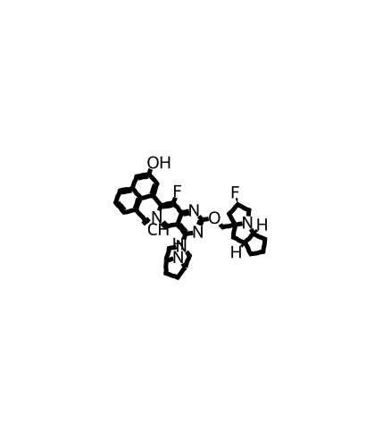 C#Cc1cccc2cc(O)cc(-c3ncc4c(N5CC6CCC(C5)N6)nc(OCC56C[C@H](F)CN5[C@@H]5CCC[C@@H]5C6)nc4c3F)c12